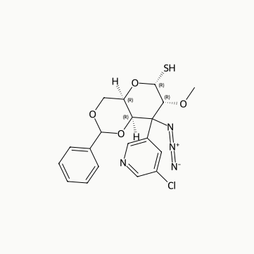 CO[C@H]1[C@@H](S)O[C@@H]2COC(c3ccccc3)O[C@@H]2C1(N=[N+]=[N-])c1cncc(Cl)c1